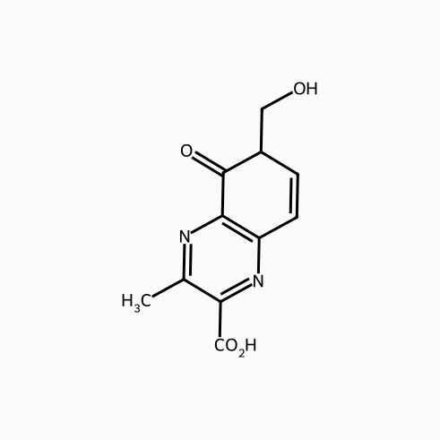 Cc1nc2c(nc1C(=O)O)C=CC(CO)C2=O